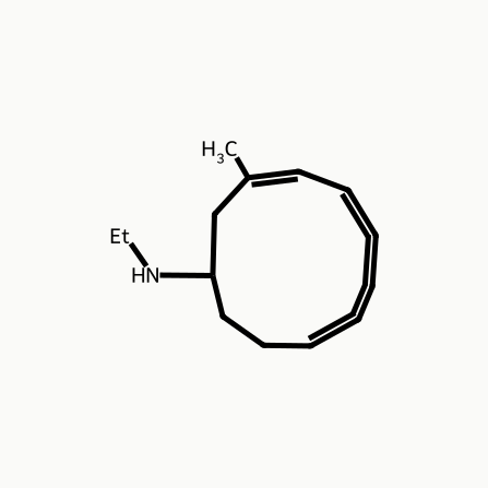 CCNC1CCC=C=C=C=C/C=C(/C)C1